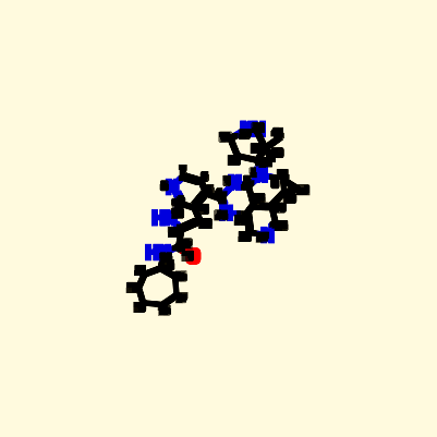 CN(c1nc(-c2ccnc3[nH]c(C(=O)NC4CCCCCC4)cc23)nc2cncc(C3CC3)c12)C1CCNCC1(C)C